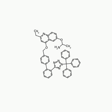 CCc1cc(OCc2ccc(-c3ccccc3-c3nnn(C(c4ccccc4)(c4ccccc4)c4ccccc4)n3)cc2)c2cc(OC(C)N)ccc2n1